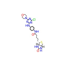 O=C(CCCC[C@@H]1SC[C@@H]2NC(=O)N[C@@H]21)Nc1ccc(Nc2nc(Cl)nc(N3CCOCC3)n2)cc1